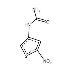 NC(=O)Nc1csc([N+](=O)[O-])c1